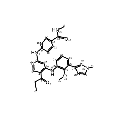 CCC(=O)c1cnc(Nc2ccc(C(=O)NC)cn2)cc1Nc1cccc(-c2ncn(C)n2)c1OC